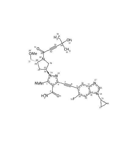 CNc1c(C(N)=O)c(C#Cc2cc3ncn(C4CC4)c3cc2F)nn1[C@H]1C[C@H](COC)N(C(=O)C#CC(C)(C)O)C1